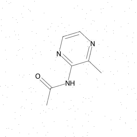 CC(=O)Nc1nccnc1C